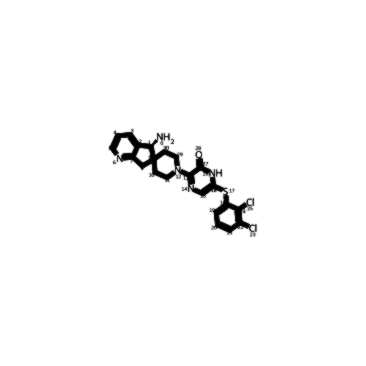 N[C@@H]1c2cccnc2CC12CCN(c1ncc(Sc3cccc(Cl)c3Cl)[nH]c1=O)CC2